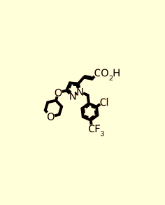 O=C(O)/C=C/c1cc(OC2CCOCC2)nn1Cc1ccc(C(F)(F)F)cc1Cl